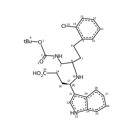 CC(C)(C)OC(=O)NCC(CCc1ccccc1Cl)N[C@H](CCC(=O)O)c1c[nH]c2ccccc12